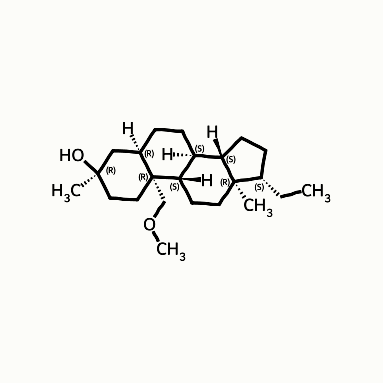 CC[C@H]1CC[C@H]2[C@@H]3CC[C@@H]4C[C@](C)(O)CC[C@]4(COC)[C@H]3CC[C@]12C